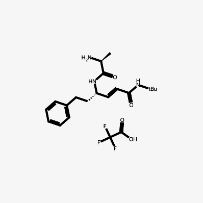 C[C@H](N)C(=O)N[C@H](C=CC(=O)NC(C)(C)C)CCc1ccccc1.O=C(O)C(F)(F)F